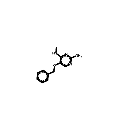 CNc1nc(N)ncc1OCc1ccccc1